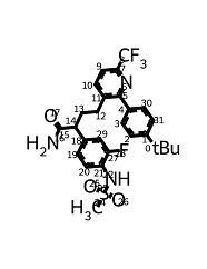 CC(C)(C)c1ccc(-c2nc(C(F)(F)F)ccc2CCC(C(N)=O)c2ccc(NS(C)(=O)=O)c(F)c2)cc1